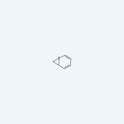 C1=CC2CI2C=C1